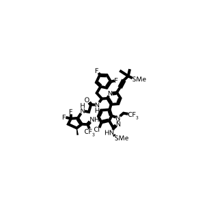 CSNc1nn(CC(F)(F)F)c2c(-c3ccc(C#CC(C)(C)SC)nc3C(Cc3cc(F)cc(F)c3)NC(=O)CNC3=C(C(=N)C(F)(F)F)[C@@H](C)CC3(F)F)ccc(Cl)c12